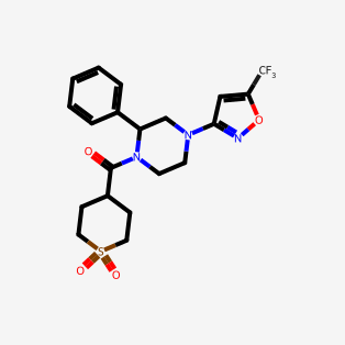 O=C(C1CCS(=O)(=O)CC1)N1CCN(c2cc(C(F)(F)F)on2)CC1c1ccccc1